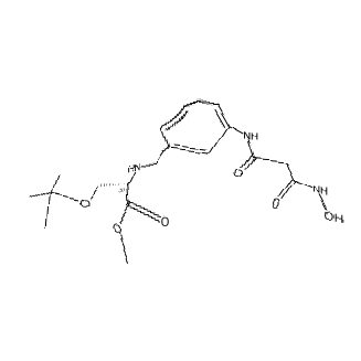 COC(=O)[C@H](COC(C)(C)C)NCc1cccc(NC(=O)CC(=O)NO)c1